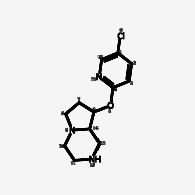 Clc1ccc(OC2CCN3CCNCC23)nc1